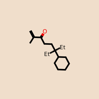 C=C(C)C(=O)CCC(CC)(CC)C1CCCCC1